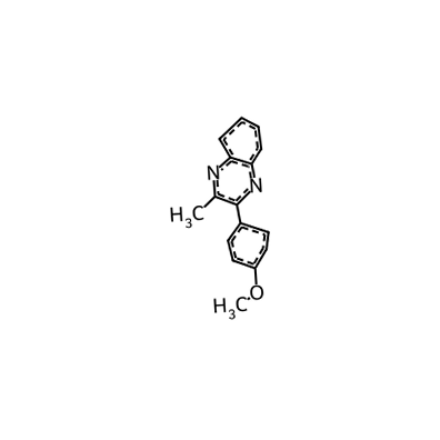 COc1ccc(-c2nc3ccccc3nc2C)cc1